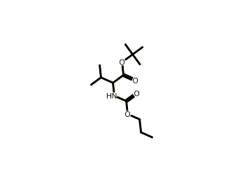 CCCOC(=O)NC(C(=O)OC(C)(C)C)C(C)C